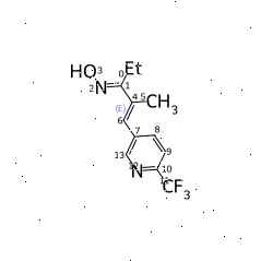 CCC(=NO)/C(C)=C/c1ccc(C(F)(F)F)nc1